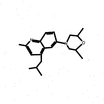 Cc1cc(CC(C)C)c2cc(N3CC(C)OC(C)C3)ccc2n1